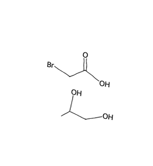 CC(O)CO.O=C(O)CBr